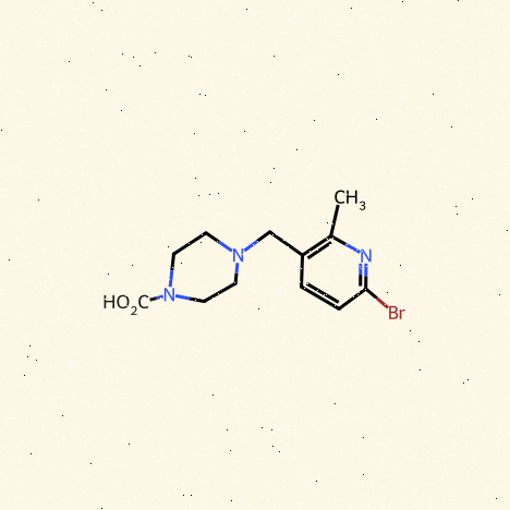 Cc1nc(Br)ccc1CN1CCN(C(=O)O)CC1